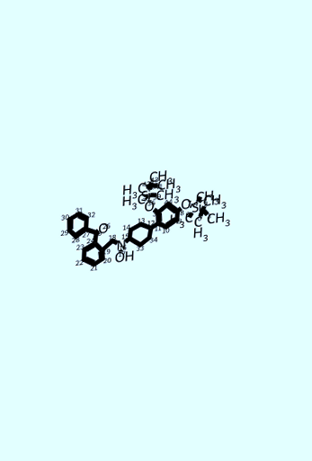 CC(C)(C)[Si](C)(C)Oc1ccc(C2CCC(N(O)Cc3ccccc3C(=O)c3ccccc3)CC2)c(O[Si](C)(C)C(C)(C)C)c1